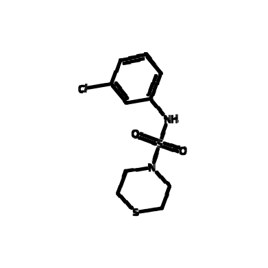 O=S(=O)(Nc1cccc(Cl)c1)N1CCSCC1